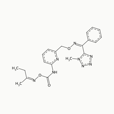 CC/C(C)=N\OC(=O)Nc1cccc(CO/N=C(/c2ccccc2)c2nnnn2C)n1